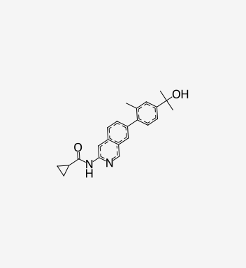 Cc1cc(C(C)(C)O)ccc1-c1ccc2cc(NC(=O)C3CC3)ncc2c1